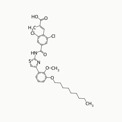 CCCCCCCCCOc1cccc(-c2csc(NC(=O)c3cc(Cl)c(C=C(C)C(=O)O)c(Cl)c3)n2)c1OC